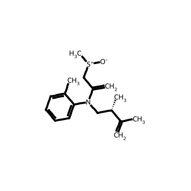 C=C(C)[C@@H](C)CN(C(=C)C[S+](C)[O-])c1ccccc1C